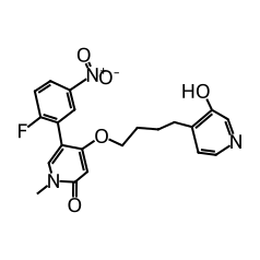 Cn1cc(-c2cc([N+](=O)[O-])ccc2F)c(OCCCCc2ccncc2O)cc1=O